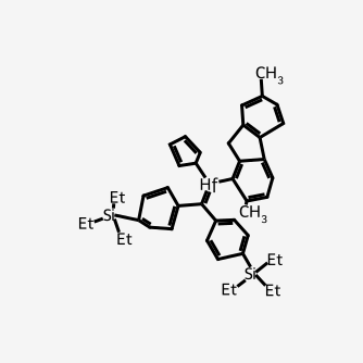 CC[Si](CC)(CC)c1ccc([C](c2ccc([Si](CC)(CC)CC)cc2)=[Hf]([c]2c(C)ccc3c2Cc2cc(C)ccc2-3)[CH]2C=CC=C2)cc1